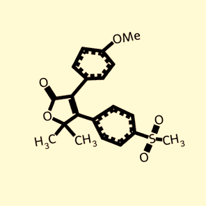 COc1ccc(C2=C(c3ccc(S(C)(=O)=O)cc3)C(C)(C)OC2=O)cc1